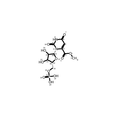 COC(=O)c1cc(=O)[nH]c(=O)n1[C@@H]1O[C@H](COP(=O)(O)O)C(O)C1O